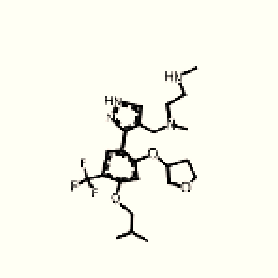 CNCCN(C)Cc1c[nH]nc1-c1cc(C(F)(F)F)c(OCC(C)C)cc1OC1CCOC1